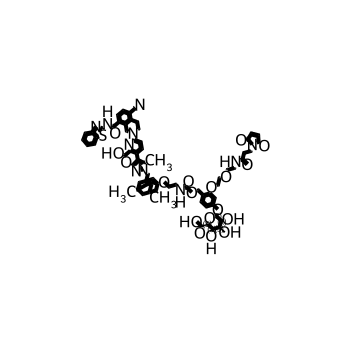 Cc1c(-c2ccc(N3CCc4c(C#N)ccc(C(=O)Nc5nc6ccccc6s5)c4C3)nc2C(=O)O)cnn1CC12CC3(C)CC(C)(C1)CC(OCCNC(=O)OCc1ccc(O[C@@H]4O[C@H](C(=O)O)[C@@H](O)[C@H](O)[C@H]4O)cc1OCCOCCNC(=O)CCN1C(=O)C=CC1=O)(C3)C2